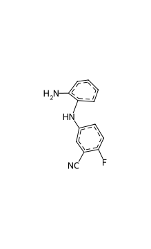 N#Cc1cc(Nc2ccccc2N)ccc1F